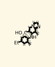 CCc1ccc(Nc2c(C(=O)O)cn3ccnc3c2F)c(F)c1